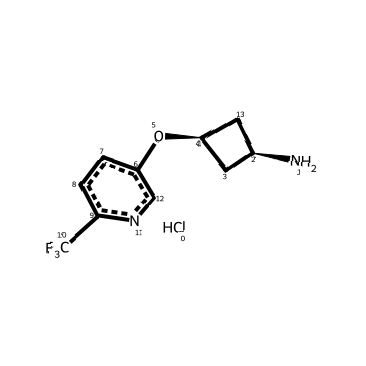 Cl.N[C@H]1C[C@@H](Oc2ccc(C(F)(F)F)nc2)C1